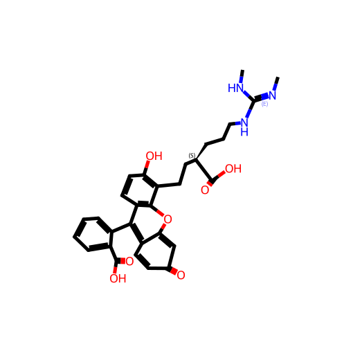 C/N=C(\NC)NCCC[C@H](CCc1c(O)ccc2c(-c3ccccc3C(=O)O)c3ccc(=O)cc-3oc12)C(=O)O